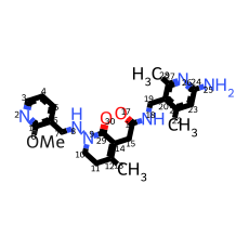 COc1ncccc1CNN1CCC(C)=C(CC(=O)NCc2c(C)cc(N)nc2C)C1=O